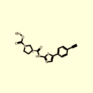 C#Cc1ccc(-c2cnc(NC(=O)[C@H]3CCN(C(=O)OC(C)(C)C)C3)s2)cc1